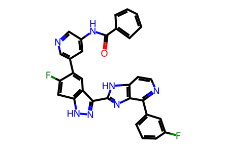 O=C(Nc1cncc(-c2cc3c(-c4nc5c(-c6cccc(F)c6)nccc5[nH]4)n[nH]c3cc2F)c1)c1ccccc1